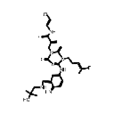 C=C(CN1C(=C)N(CC/C=C(\C)F)C(NC2=C/C(=C/NCC(C)(C)O)C(=N)C=C2)=NC1=O)C(=O)N/C=C/Cl